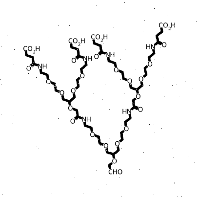 O=CCOC(COCCOCCNC(=O)COC(COCCOCCNC(=O)CCC(=O)O)COCCOCCNC(=O)CCC(=O)O)COCCOCCNC(=O)COC(COCCOCCNC(=O)CCC(=O)O)COCCOCCNC(=O)CCC(=O)O